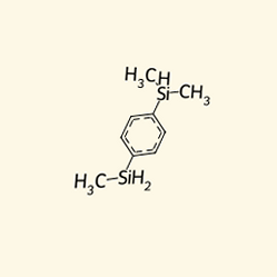 C[SiH2]c1ccc([SiH](C)C)cc1